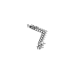 [Ga+3].[Ga+3].[In+3].[In+3].[O-2].[O-2].[O-2].[O-2].[O-2].[O-2].[O-2].[O-2].[O-2].[O-2].[O-2].[Ta+5].[Ta+5]